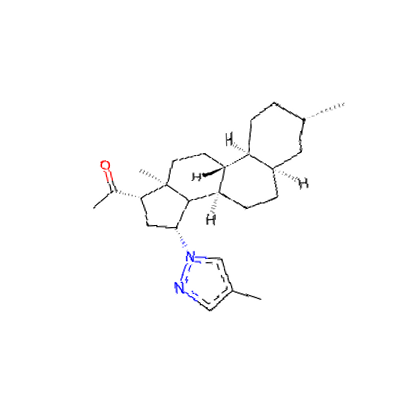 CC(=O)[C@H]1C[C@@H](n2cc(C)cn2)C2[C@@H]3CC[C@@H]4C[C@@H](C)CC[C@@H]4[C@H]3CC[C@@]21C